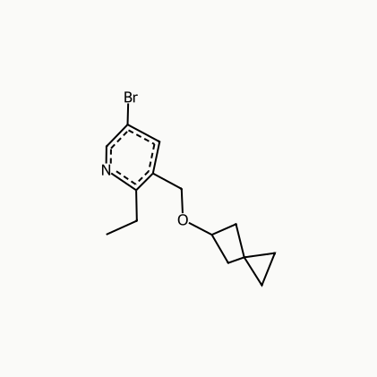 CCc1ncc(Br)cc1COC1CC2(CC2)C1